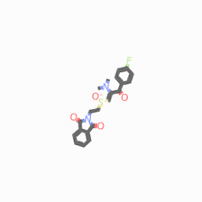 CN(C)C(=C[S+]([O-])CCN1C(=O)c2ccccc2C1=O)C(=O)c1ccc(F)cc1